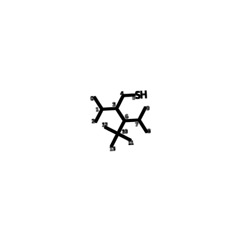 CC(C)C(CS)C(C(C)C)C(C)(C)C